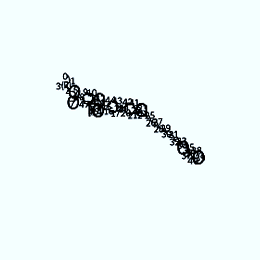 CC[C@@H](C)COC(=O)c1ccc(OC(=O)c2ccc(-c3ccc(OCCCCCCCCCCOCC4(C)COC4)cc3)cc2)c(F)c1